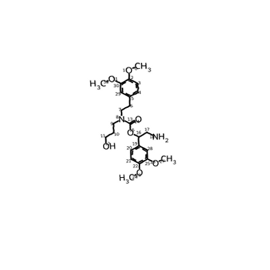 COc1ccc(CCN(CCCO)C(=O)OC(CN)c2ccc(OC)c(OC)c2)cc1OC